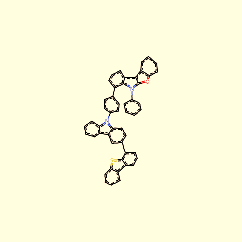 c1ccc(-n2c3oc4ccccc4c3c3cccc(-c4ccc(-n5c6ccccc6c6cc(-c7cccc8c7sc7ccccc78)ccc65)cc4)c32)cc1